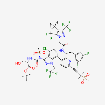 CC(C)(C)OC(=O)[C@H](CO)NC(=O)N(c1nn(CC(F)(F)F)c2c(-c3ccc(C#CC(C)(C)S(C)(=O)=O)nc3[C@H](Cc3cc(F)cc(F)c3)NC(=O)Cn3nc(C(F)(F)F)c4c3C(F)(F)C3C[C@H]43)ccc(Cl)c12)S(C)(=O)=O